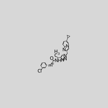 CC(NC(=O)[C@H]1C[C@@H]1c1cccc(Cl)c1)c1cn(Cc2cn3cc(C4CC4)ccc3n2)nn1